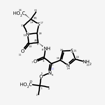 CC(C)(O/N=C(\C(=O)N[C@@H]1C(=O)N2C[C@](C)(C(=O)O)SC12)c1csc(N)n1)C(=O)O